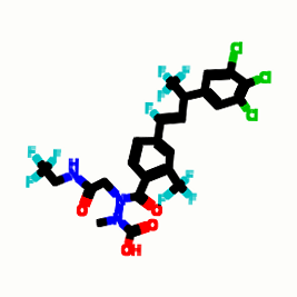 CN(C(=O)O)N(CC(=O)NCC(F)(F)F)C(=O)c1ccc(C(F)=CC(c2cc(Cl)c(Cl)c(Cl)c2)C(F)(F)F)cc1C(F)(F)F